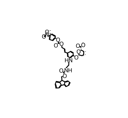 COC(=O)[C@@H]1[CH][CH][CH][C@H](Oc2ccc(/C=C/COC(=O)Oc3ccc([N+](=O)[O-])cc3)cc2NCCCNC(=O)OCC2c3ccccc3-c3ccccc32)O1